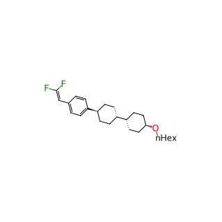 CCCCCCO[C@H]1CC[C@H]([C@H]2CC[C@H](c3ccc(C=C(F)F)cc3)CC2)CC1